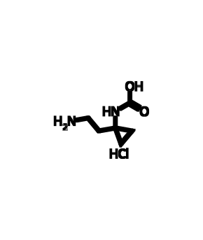 Cl.NCCC1(NC(=O)O)CC1